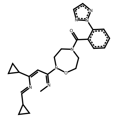 C\N=C(/C=C(\N=C\C1CC1)C1CC1)N1CCN(C(=O)c2ccccc2-n2nccn2)CCO1